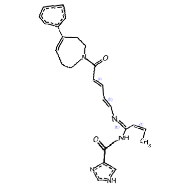 C\C=C/C(=N\C=C\C=C\C(=O)N1CCC=C(c2ccccc2)CC1)NC(=O)c1c[nH]cn1